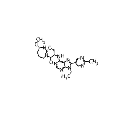 CC[C@@H](Nc1ncnc2c1nc(-c1cnc(C)nc1)n2CC)C(=O)N1CCC[C@@H](OC)CC1